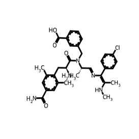 CN/C(C)=C(\N=C\[C@H](C)N(Cc1cccc(C(=O)O)c1)C(=O)[C@@H](N)Cc1c(C)cc(C(N)=O)cc1C)c1ccc(Cl)cc1